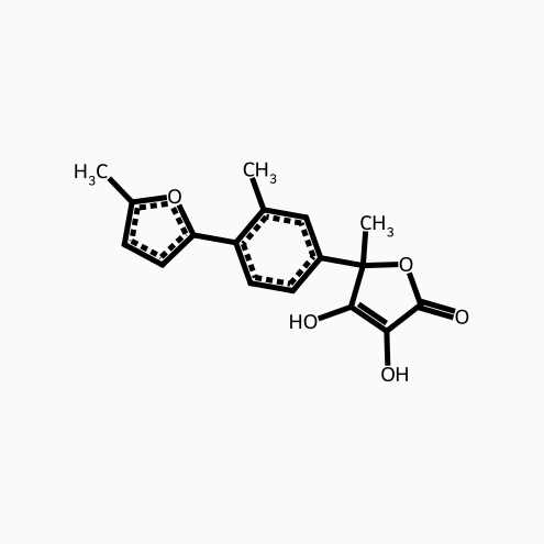 Cc1ccc(-c2ccc(C3(C)OC(=O)C(O)=C3O)cc2C)o1